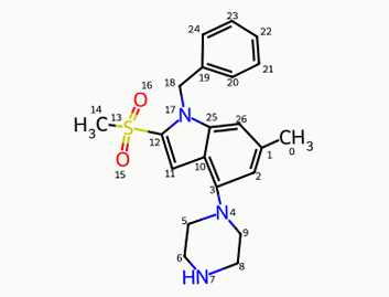 Cc1cc(N2CCNCC2)c2cc(S(C)(=O)=O)n(Cc3ccccc3)c2c1